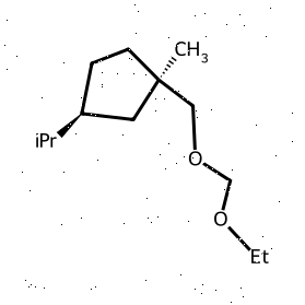 CCOCOC[C@]1(C)CC[C@H](C(C)C)C1